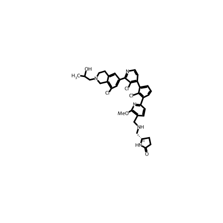 COc1nc(-c2cccc(-c3ccnc(-c4cc(Cl)c5c(c4)CCN(CC(C)O)C5)c3Cl)c2Cl)ccc1CNC[C@@H]1CCC(=O)N1